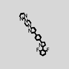 Fc1cccc(F)c1C1=NC(c2ccc(-c3ccc(N4CCN(c5ncccn5)CC4)nc3)cc2)CC1